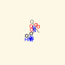 CCCc1c(C(OC)OC)n(C(=O)CC2CCCCC2)c(=O)n1Cc1ccc(-c2ccccc2-c2nnn[nH]2)cc1